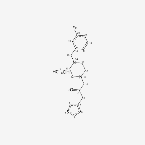 Cl.Cl.O=C(Cc1ccsc1)CN1CCN(Cc2cccc(F)c2)CC1